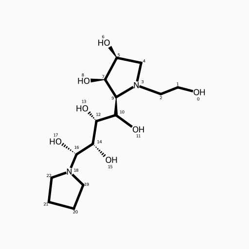 OCCN1C[C@H](O)[C@H](O)[C@@H]1C(O)[C@@H](O)[C@H](O)[C@@H](O)N1CCCC1